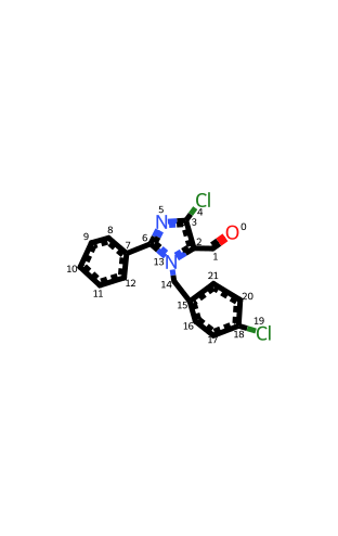 O=Cc1c(Cl)nc(-c2ccccc2)n1Cc1ccc(Cl)cc1